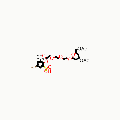 CC(=O)OCC1CC(OC(C)=O)CC(OCCOCCOCC(=O)Oc2c(S(=O)O)cc(Br)cc2C(F)(F)F)O1